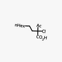 CCCCCCCCC(Cl)(C(C)=O)C(=O)O